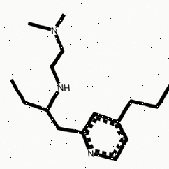 CCCc1ccnc(CC(CC)NCCN(C)C)c1